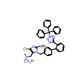 CCCCc1nc(Cl)c(CN(C)C(=O)O)n1Cc1ccc(-c2ccccc2-c2nnn(C(c3ccccc3)(c3ccccc3)c3ccccc3)n2)cc1